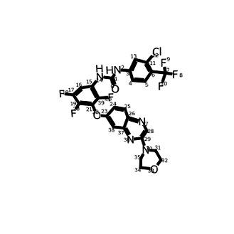 O=C(Nc1ccc(C(F)(F)F)c(Cl)c1)Nc1cc(F)c(F)c(Oc2ccc3ncc(N4CCOCC4)nc3c2)c1F